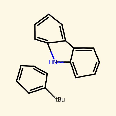 CC(C)(C)c1ccccc1.c1ccc2c(c1)[nH]c1ccccc12